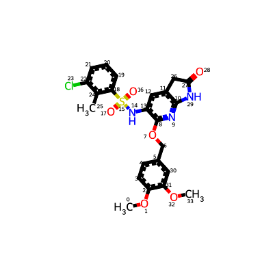 COc1ccc(COc2nc3c(cc2NS(=O)(=O)c2cccc(Cl)c2C)CC(=O)N3)cc1OC